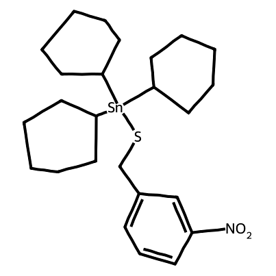 O=[N+]([O-])c1cccc(C[S][Sn]([CH]2CCCCC2)([CH]2CCCCC2)[CH]2CCCCC2)c1